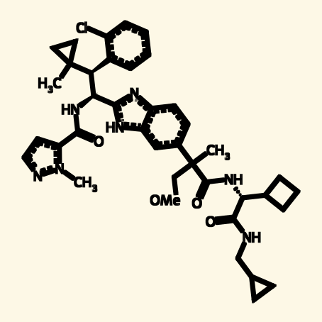 COCC(C)(C(=O)N[C@@H](C(=O)NCC1CC1)C1CCC1)c1ccc2nc([C@@H](NC(=O)c3ccnn3C)[C@H](c3ccccc3Cl)C3(C)CC3)[nH]c2c1